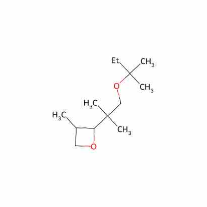 CCC(C)(C)OCC(C)(C)C1OCC1C